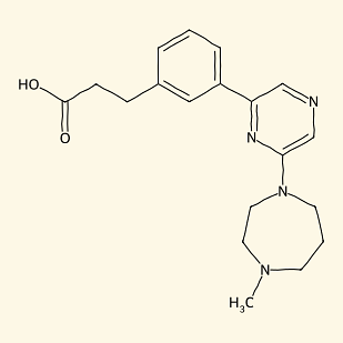 CN1CCCN(c2cncc(-c3cccc(CCC(=O)O)c3)n2)CC1